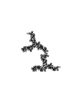 O=P([O][Mo](=[O])(=[O])[O][Mo](=[O])(=[O])[O][Mo](=[O])(=[O])[O][Mo](=[O])(=[O])[OH])([O][Mo](=[O])(=[O])[O][Mo](=[O])(=[O])[O][Mo](=[O])(=[O])[O][Mo](=[O])(=[O])[OH])[O][Mo](=[O])(=[O])[O][Mo](=[O])(=[O])[O][Mo](=[O])(=[O])[O][Mo](=[O])(=[O])[O][O][Mo](=[O])(=[O])[O][Mo](=[O])(=[O])[O][Mo](=[O])(=[O])[O][Mo](=[O])(=[O])[O]P(=O)([O][Mo](=[O])(=[O])[O][Mo](=[O])(=[O])[O][Mo](=[O])(=[O])[O][Mo](=[O])(=[O])[OH])[O][Mo](=[O])(=[O])[O][Mo](=[O])(=[O])[O][Mo](=[O])(=[O])[O][Mo](=[O])(=[O])[OH]